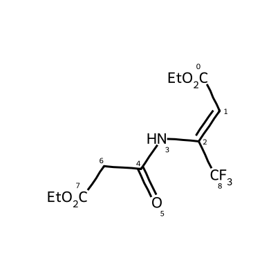 CCOC(=O)C=C(NC(=O)CC(=O)OCC)C(F)(F)F